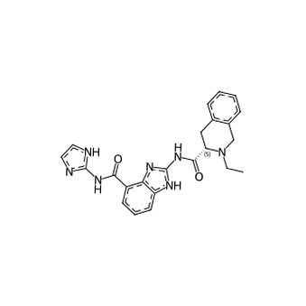 CCN1Cc2ccccc2C[C@H]1C(=O)Nc1nc2c(C(=O)Nc3ncc[nH]3)cccc2[nH]1